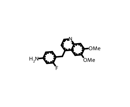 COc1cc2nccc(Cc3ccc(N)cc3F)c2cc1OC